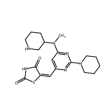 CN(c1cc(C=C2SC(=O)NC2=O)nc(N2CCCCC2)n1)C1CCCNC1